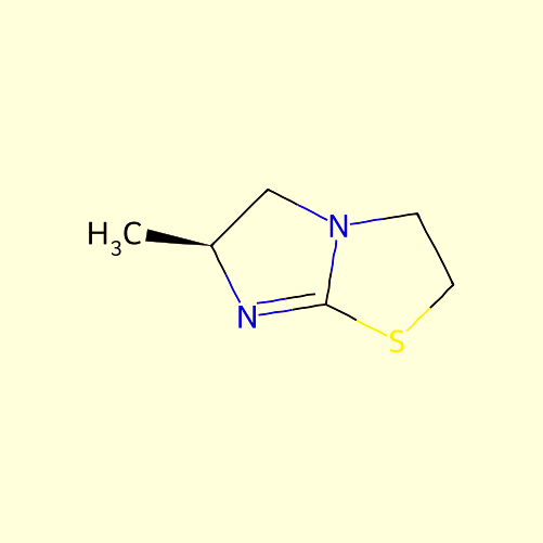 C[C@H]1CN2CCSC2=N1